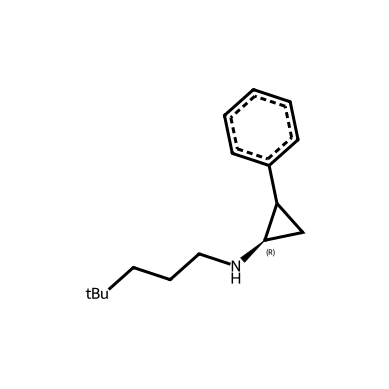 CC(C)(C)CCCN[C@@H]1CC1c1ccccc1